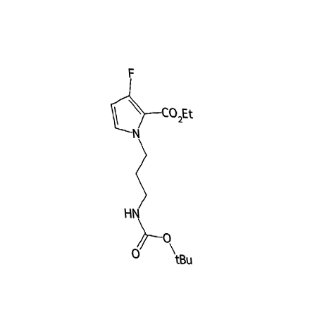 CCOC(=O)c1c(F)ccn1CCCNC(=O)OC(C)(C)C